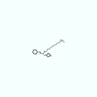 CCCCCCCCCCSC(/C=C/c1ccccc1)Cn1ccnc1